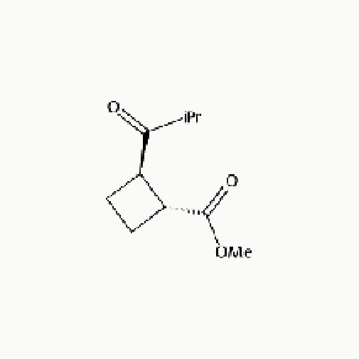 COC(=O)[C@@H]1CC[C@H]1C(=O)C(C)C